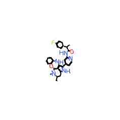 CC(C(=O)Nc1cc(-c2[nH]c3c(c2Nc2ccccc2)C(=O)N(C)C(C)C3)ccn1)c1ccc(F)cc1